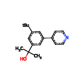 CC(C)(C)c1cc(-c2ccncc2)cc(C(C)(C)O)c1